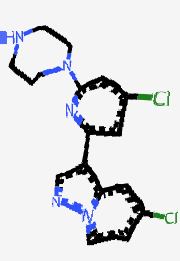 Clc1cc(-c2cnn3ccc(Cl)cc23)nc(N2CCNCC2)c1